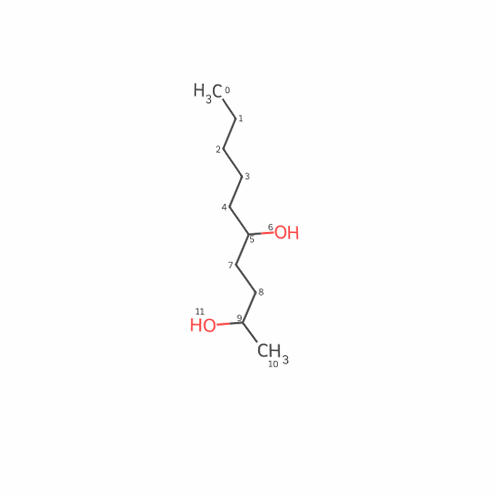 CCCCCC(O)CCC(C)O